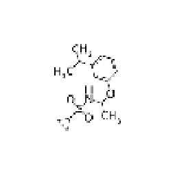 CC(NS(=O)(=O)C1CC1)Oc1cccc(C(C)C)c1